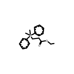 CCOC(=O)CCP(C)(C)(c1ccccc1)c1ccccc1